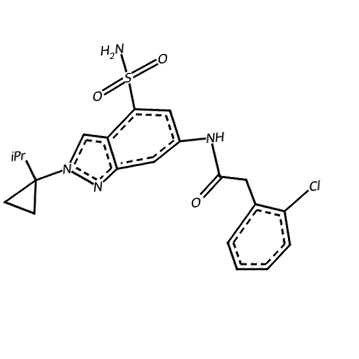 CC(C)C1(n2cc3c(S(N)(=O)=O)cc(NC(=O)Cc4ccccc4Cl)cc3n2)CC1